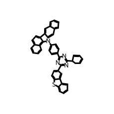 C1=CCC(c2nc(-c3ccc(-n4c5cc6ccccc6cc5c5ccc6ccccc6c54)cc3)nc(-c3ccc4sc5ccccc5c4c3)n2)C=C1